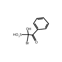 O=C(c1ccccc1)C(O)(Br)S(=O)(=O)O